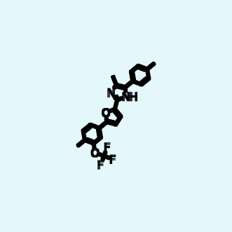 Cc1ccc(-c2[nH]c(-c3ccc(-c4ccc(C)c(OC(F)(F)F)c4)o3)nc2C)cc1